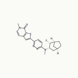 CN(c1ccc(-c2cc3ccn(C)c(=O)c3s2)nn1)[C@H]1C[C@@H]2CC[C@@H](C2)[C@H]1F